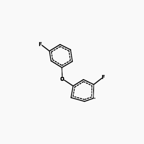 Fc1[c]ccc(Oc2cccc(F)c2)c1